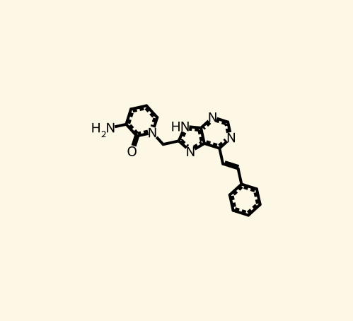 Nc1cccn(Cc2nc3c(/C=C/c4ccccc4)ncnc3[nH]2)c1=O